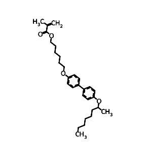 C=C(C)C(=O)OCCCCCCOc1ccc(-c2ccc(OC(C)CCCCCC)cc2)cc1